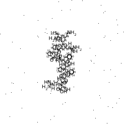 N=C(N)NCCC[C@H](NC(=O)[C@H](Cc1ccccc1)NC(=O)[C@@H]1CCCN1C(=O)[C@H](CO)NC(=O)[C@H](Cc1ccccc1)NC(=O)CNC(=O)[C@@H]1CCCN1C(=O)[C@@H]1CCCN1C(=O)[C@H](CCCNC(=N)N)NC(=O)[C@H](CCCCN)NC(=O)[C@@H](N)CS)C(=O)N[C@@H](CS)C(=O)O